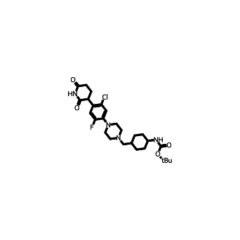 CC(C)(C)OC(=O)NC1CCC(CN2CCN(c3cc(Cl)c(C4CCC(=O)NC4=O)cc3F)CC2)CC1